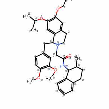 CCOc1cc2c(cc1OC(C)C)C(Cc1ccc(OC)c(OC)c1)N(CC(=O)NC1c3ccccc3CCC1C)CC2